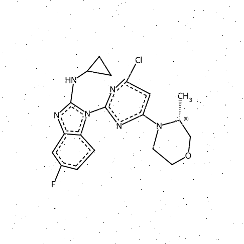 C[C@@H]1COCCN1c1cc(Cl)nc(-n2c(NC3CC3)nc3cc(F)ccc32)n1